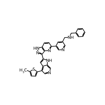 Cc1ccc(-c2cncc3[nH]c(-c4n[nH]c5ccc(-c6cncc(CNCc7ccccc7)c6)nc45)cc23)s1